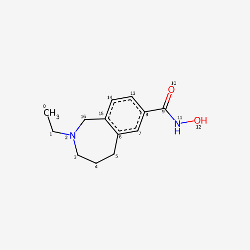 CCN1CCCc2cc(C(=O)NO)ccc2C1